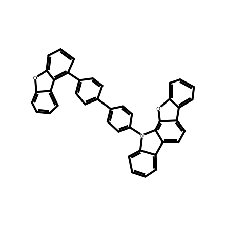 c1ccc2c(c1)oc1c2ccc2c3ccccc3n(-c3ccc(-c4ccc(-c5cccc6oc7ccccc7c56)cc4)cc3)c21